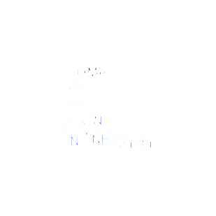 CCCCOCc1nc2c(-c3ccc(OC)cc3)ccnc2[nH]1